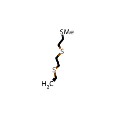 C=CSCCSCCSC